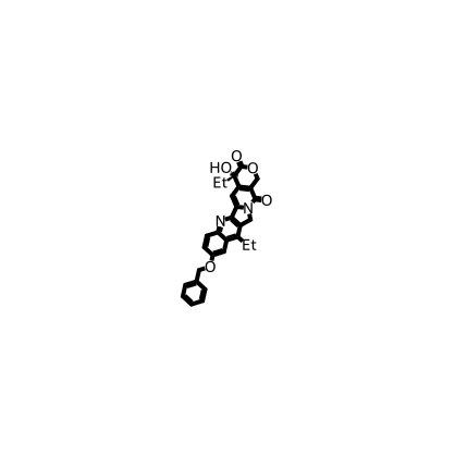 CCc1c2c(nc3ccc(OCc4ccccc4)cc13)-c1cc3c(c(=O)n1C2)COC(=O)[C@]3(O)CC